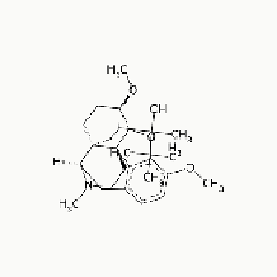 COc1ccc2c3c1OC1[C@@]4(OC)CC[C@@]5(CC4C(C)(O)C(C)(C)C)[C@@H](C2)N(C)CC[C@]315